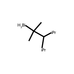 CC(C)C(C(C)C)[C](C)(C)[BiH2]